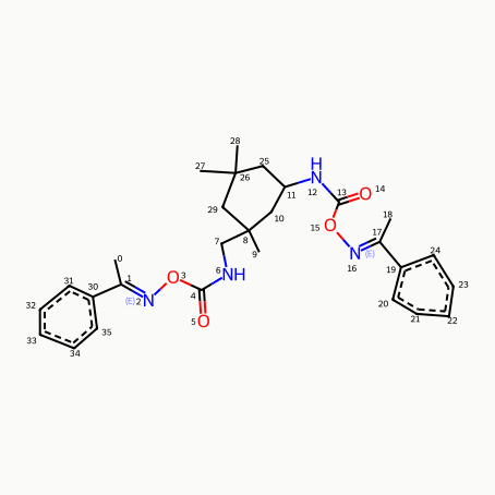 C/C(=N\OC(=O)NCC1(C)CC(NC(=O)O/N=C(\C)c2ccccc2)CC(C)(C)C1)c1ccccc1